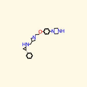 c1ccc([C@@H]2C[C@H]2NCC2CN(CCOc3ccc(N4CCNCC4)cc3)C2)cc1